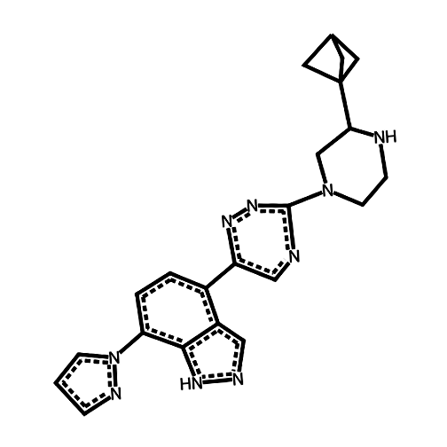 c1cnn(-c2ccc(-c3cnc(N4CCNC(C56CC(C5)C6)C4)nn3)c3cn[nH]c23)c1